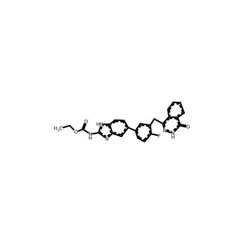 CCOC(=O)Nc1nc2cc(-c3ccc(F)c(Cc4n[nH]c(=O)c5ccccc45)c3)ccc2[nH]1